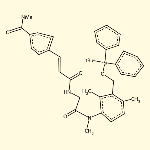 CNC(=O)c1ccc(C=CC(=O)NCC(=O)N(C)c2ccc(C)c(CO[Si](c3ccccc3)(c3ccccc3)C(C)(C)C)c2C)cc1